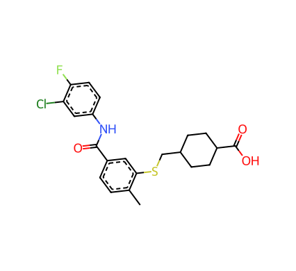 Cc1ccc(C(=O)Nc2ccc(F)c(Cl)c2)cc1SCC1CCC(C(=O)O)CC1